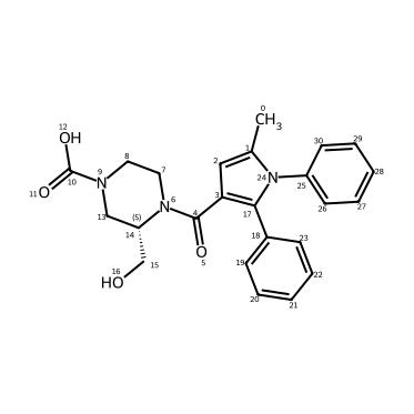 Cc1cc(C(=O)N2CCN(C(=O)O)C[C@H]2CO)c(-c2ccccc2)n1-c1ccccc1